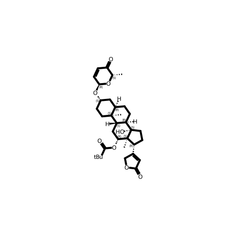 C[C@@H]1O[C@@H](O[C@H]2CC[C@@]3(C)[C@H](CC[C@@H]4[C@@H]3C[C@@H](OC(=O)C(C)(C)C)[C@]3(C)[C@@H](C5=CC(=O)OC5)CC[C@]43O)C2)C=CC1=O